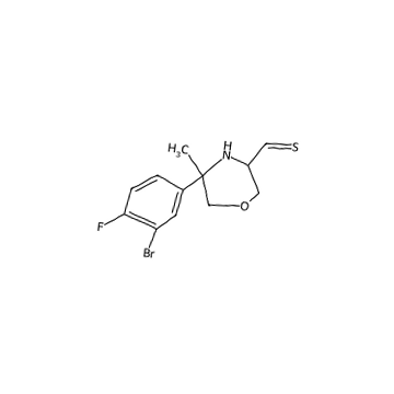 CC1(c2ccc(F)c(Br)c2)COCC(C=S)N1